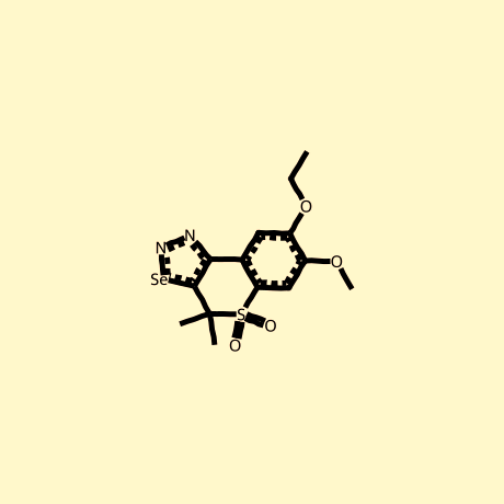 CCOc1cc2c(cc1OC)S(=O)(=O)C(C)(C)c1[se]nnc1-2